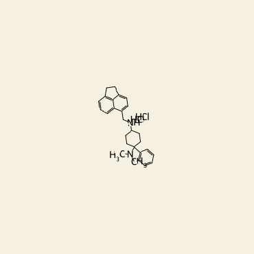 CN(C)C1(c2ccccc2)CCC(NCc2ccc3c4c(cccc24)CC3)CC1.Cl.Cl